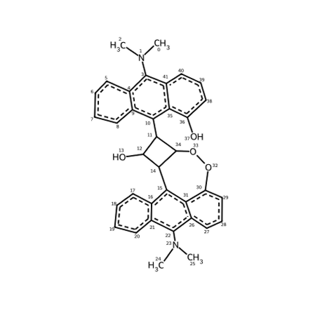 CN(C)c1c2ccccc2c(C2C(O)C3c4c5ccccc5c(N(C)C)c5cccc(c45)OOC23)c2c(O)cccc12